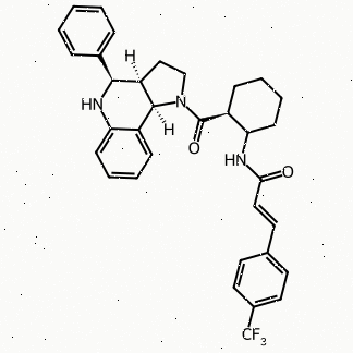 O=C(/C=C/c1ccc(C(F)(F)F)cc1)NC1CCCC[C@@H]1C(=O)N1CC[C@@H]2[C@H](c3ccccc3)Nc3ccccc3[C@@H]21